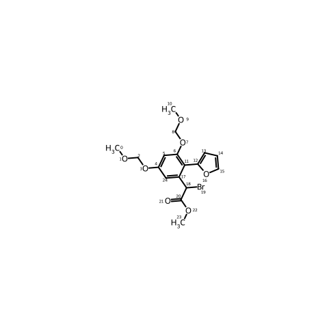 COCOc1cc(OCOC)c(-c2ccco2)c(C(Br)C(=O)OC)c1